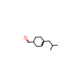 CC(C)CC1=CCC(C=O)CC1